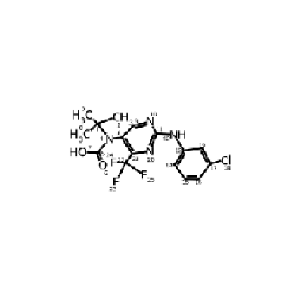 CC(C)(C)N(C(=O)O)c1cnc(Nc2cccc(Cl)c2)nc1C(F)(F)F